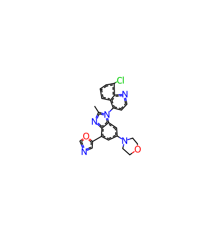 Cc1nc2c(-c3cnco3)cc(N3CCOCC3)cc2n1-c1ccnc2c(Cl)cccc12